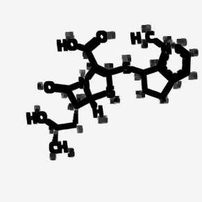 C[C@H](O)C[C@@H]1C(=O)N2C(C(=O)O)=C(SC3CCc4ccc[n+](C)c43)S[C@H]12